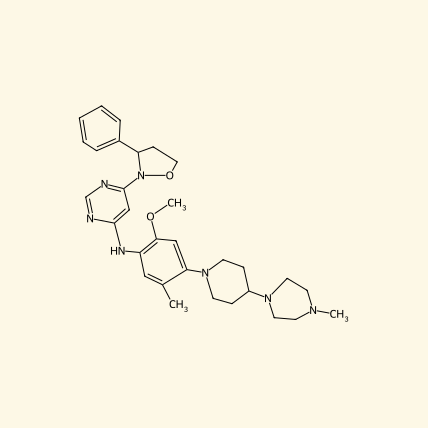 COc1cc(N2CCC(N3CCN(C)CC3)CC2)c(C)cc1Nc1cc(N2OCCC2c2ccccc2)ncn1